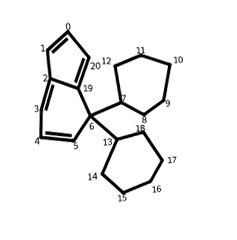 C1=CC2=CC=CC(C3CCCCC3)(C3CCCCC3)C2=C1